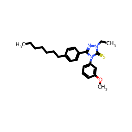 CCCCCCCc1ccc(-c2nn(CC)c(=S)n2-c2cccc(OC)c2)cc1